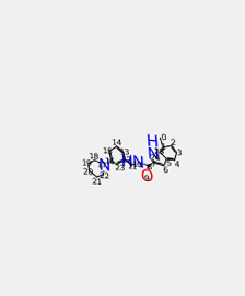 Cc1cccc2cc(C(=O)NCc3cccc(N4CCCCC4)c3)[nH]c12